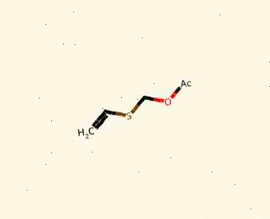 C=[C]SCOC(C)=O